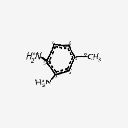 Cc1[c]c(N)c(N)cc1